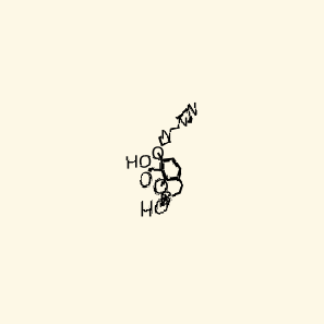 O=C(O)c1c(OC2CN(CCn3ccnc3)C2)ccc2c1OB(O)CC2